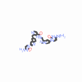 Nc1ccn(-c2cnc3ccc(Cc4cc(C(=O)NCc5ncn6ccc(-n7ccc(N)nc7=O)cc56)ccn4)cc3c2)c(=O)n1